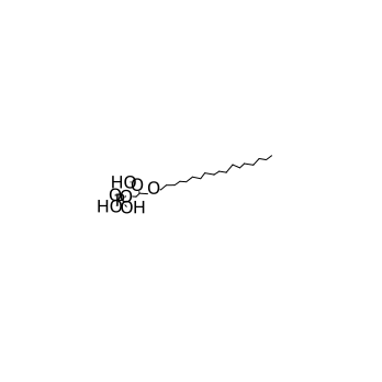 CCCCCCCCCCCCCCCCCCOCC(COP(=O)(O)O)OO